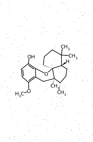 COc1ccc(O)c2c1C[C@]1(C)[C@@H](C)CC[C@H]3C(C)(C)CCC[C@]31O2